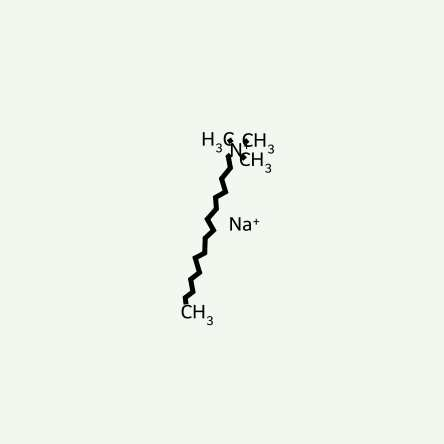 CCCCCCCCCCCCCCCC[N+](C)(C)C.[Na+]